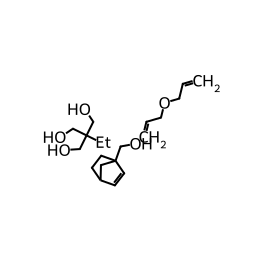 C=CCOCC=C.CCC(CO)(CO)CO.OCC12C=CC(CC1)C2